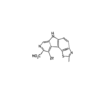 CCc1c(C(=O)O)ncc2[nH]c3ccc4nc(C)sc4c3c12